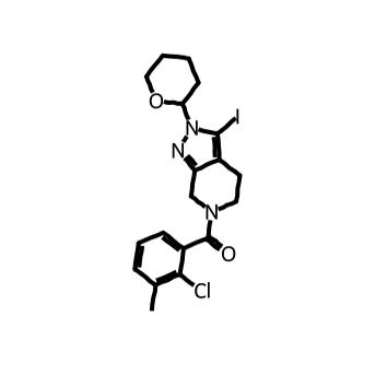 Cc1cccc(C(=O)N2CCc3c(nn(C4CCCCO4)c3I)C2)c1Cl